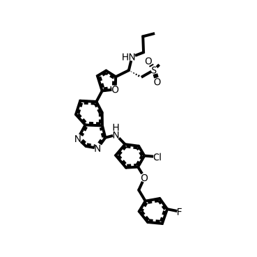 CCCN[C@H](CS(C)(=O)=O)c1ccc(-c2ccc3ncnc(Nc4ccc(OCc5cccc(F)c5)c(Cl)c4)c3c2)o1